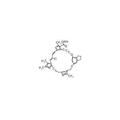 COC(=O)c1c(C)cc2n1CCCOc1cc(cc3c1CCC3)SCc1cc(nn1C)CSCc1nn(C)c(C)c1/C=C(Cl)/C=C\2